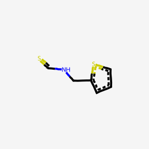 S=[C]NCc1cccs1